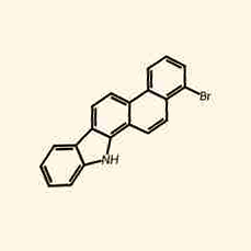 Brc1cccc2c1ccc1c2ccc2c3ccccc3[nH]c21